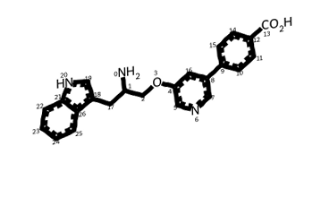 NC(COc1cncc(-c2ccc(C(=O)O)cc2)c1)Cc1c[nH]c2ccccc12